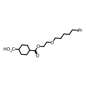 CC(C)CCCCCOCCOC(=O)C1CCC(C(=O)O)CC1